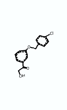 O=C(CO)c1cccc(OCc2ccc(Cl)cc2)c1